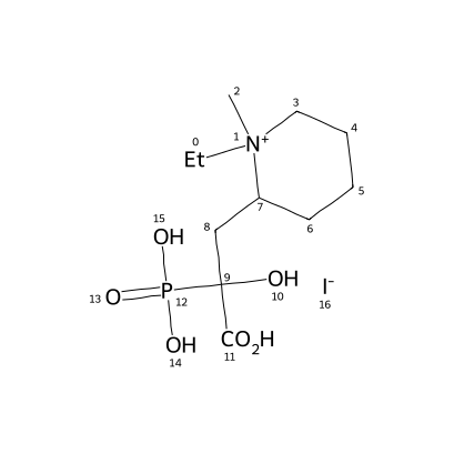 CC[N+]1(C)CCCCC1CC(O)(C(=O)O)P(=O)(O)O.[I-]